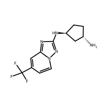 N[C@H]1CC[C@H](Nc2nc3cc(C(F)(F)F)ccn3n2)C1